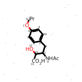 CC(=O)NC(Cc1ccc(OC(C)C)cc1)C(O)C(=O)O